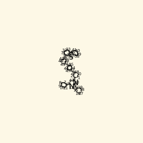 C1=CC(C2CC(c3ccccc3)=NC(C3=CCCC=C3)=N2)CC(c2ccc(C3=CC(c4cccc5c4sc4ccccc45)=CCC3)cc2)=C1